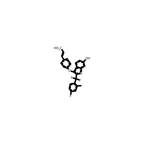 Cc1cc(F)ccc1C(F)(F)c1sc2cc(O)ccc2c1Oc1ccc(C=CC(=O)O)cc1